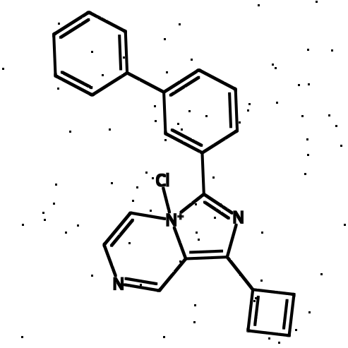 Cl[N+]12C=CN=CC1=C(C1=CC=C1)N=C2c1cccc(-c2ccccc2)c1